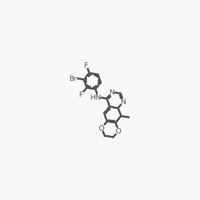 CC1C2=C(C=C3C(Nc4ccc(F)c(Br)c4F)=NC=NC31)OCCO2